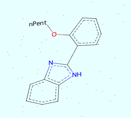 CCCCCOc1ccc[c]c1-c1nc2ccccc2[nH]1